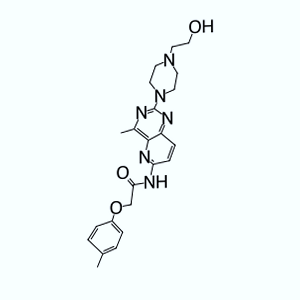 Cc1ccc(OCC(=O)Nc2ccc3nc(N4CCN(CCO)CC4)nc(C)c3n2)cc1